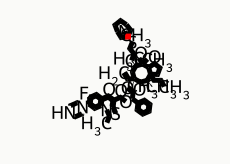 C=C[C@@]1(C)C[C@H](OC(=O)CSC2CC3CCC(C2)N3C)C(C)(C)C2C(=O)CCC2(CCC)[C@H](C)[C@H]1OC(=O)C(OC(=O)c1c2n(c3cc(N4CCNCC4)c(F)cc3c1=O)C(C)S2)c1ccccc1